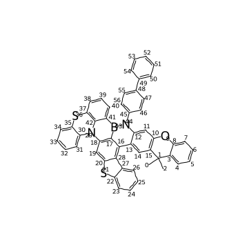 CC1(C)c2ccccc2Oc2cc3c(cc21)-c1c2c(cc4sc5ccccc5c14)N1c4ccccc4Sc4cccc(c41)B2N3c1ccc(-c2ccccc2)cc1